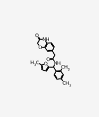 Cc1ccc(C(NC(=O)Cc2ccc3c(c2)OCC(=O)N3)c2ccc(C)o2)c(C)c1